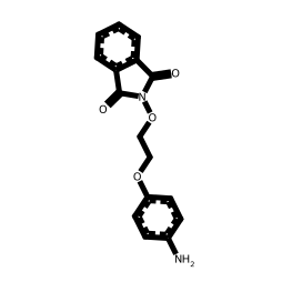 Nc1ccc(OCCON2C(=O)c3ccccc3C2=O)cc1